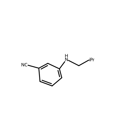 CC(C)CNc1cccc(C#N)c1